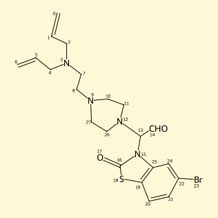 C=CCN(CC=C)CCN1CCN(C(C=O)n2c(=O)sc3ccc(Br)cc32)CC1